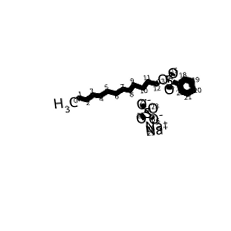 CCCCCCCCCCCCCOS(=O)(=O)c1ccccc1.O=S(=O)([O-])[O-].[Na+].[Na+]